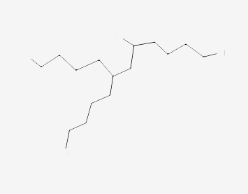 CCCCCC(C)CC(CCCCC)CCCCC